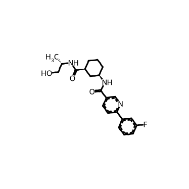 C[C@@H](CO)NC(=O)[C@H]1CCC[C@@H](NC(=O)c2ccc(-c3cccc(F)c3)nc2)C1